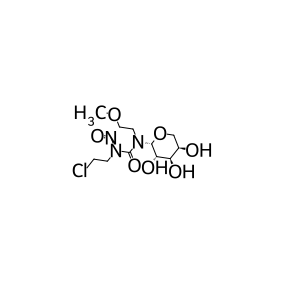 COCCN(C(=O)N(CCCl)N=O)[C@@H]1OC[C@@H](O)[C@@H](O)[C@@H]1O